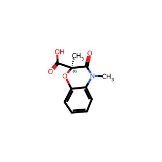 CN1C(=O)[C@](C)(C(=O)O)Oc2ccccc21